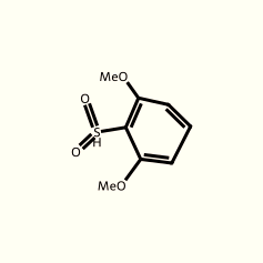 COc1cccc(OC)c1[SH](=O)=O